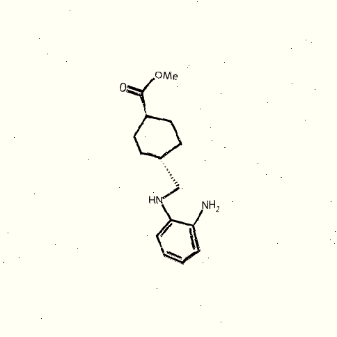 COC(=O)[C@H]1CC[C@H](CNc2ccccc2N)CC1